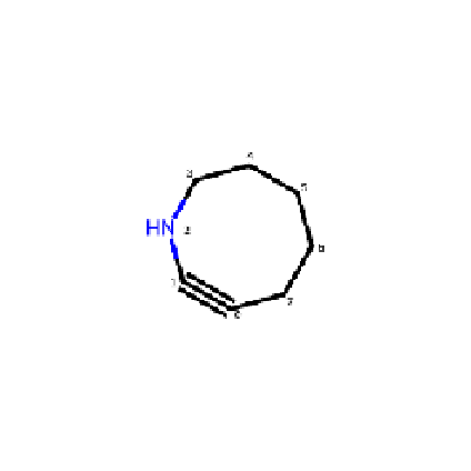 C1#CNCCCCC1